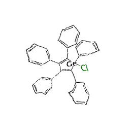 [Cl][Ge]1([c]2ccccc2)[C](c2ccccc2)=C(c2ccccc2)C(c2ccccc2)=[C]1c1ccccc1